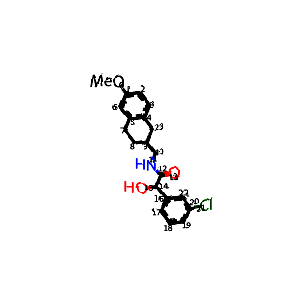 COc1ccc2c(c1)CCC(CNC(=O)C(O)c1cccc(Cl)c1)C2